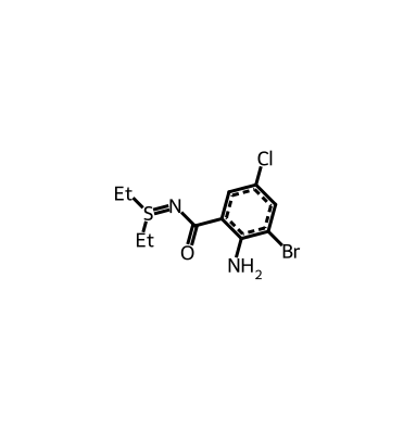 CCS(CC)=NC(=O)c1cc(Cl)cc(Br)c1N